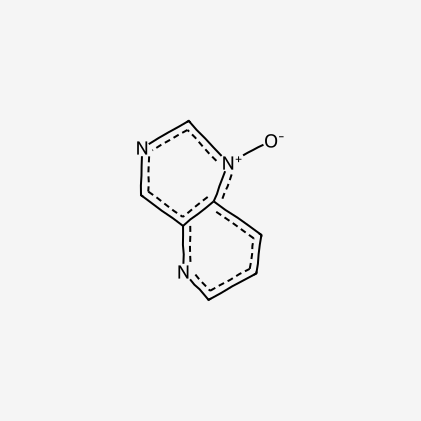 [O-][n+]1cncc2ncccc21